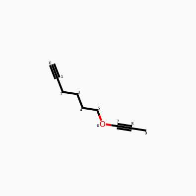 C#CCCCCOC#CC